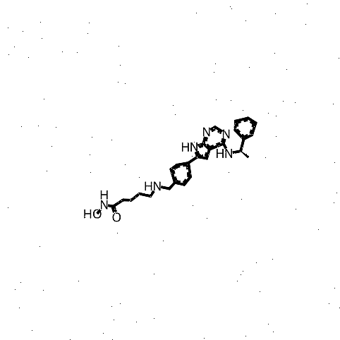 C[C@@H](Nc1ncnc2[nH]c(-c3ccc(CNCCCCC(=O)NO)cc3)cc12)c1ccccc1